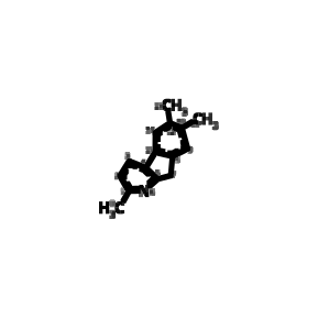 Cc1ccc2c(n1)Cc1cc(C)c(C)cc1-2